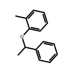 Cc1ccccc1OC(C)c1ccccc1